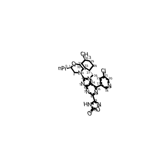 CCC[C@@H]1CN(c2nc3nc(-c4noc(=O)[nH]4)nc(-c4cncc(Cl)c4)c3n2C[C@H]2CC[C@H](C)CC2)CCO1